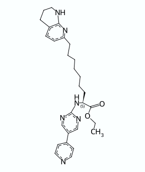 CCOC(=O)[C@H](CCCCCCCc1ccc2c(n1)NCCC2)Nc1ncc(-c2ccncc2)cn1